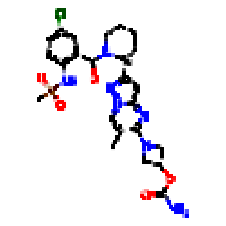 Cc1cn2nc([C@@H]3CCCCN3C(=O)c3cc(Cl)ccc3NS(C)(=O)=O)cc2nc1N1CC(OC(N)=O)C1